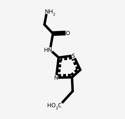 NCC(=O)Nc1nc(CC(=O)O)cs1